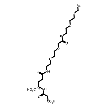 CC(=O)COCCOCCNC(=O)COCCOCCNC(=O)CC[C@H](NC(=O)CC(=O)O)C(=O)O